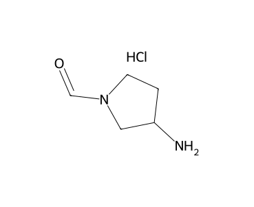 Cl.NC1CCN(C=O)C1